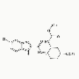 CCOC(=O)C1CC[C@@H](NC(=O)c2cc3cc(Cl)ccc3[nH]2)C(NC(=O)OC(C)(C)C)C1